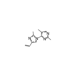 C=Cc1cn(-c2nc(C)ncc2C)c(C)n1